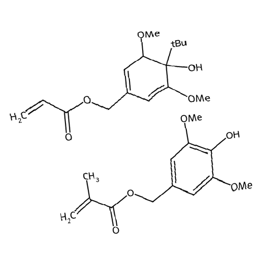 C=C(C)C(=O)OCc1cc(OC)c(O)c(OC)c1.C=CC(=O)OCC1=CC(OC)C(O)(C(C)(C)C)C(OC)=C1